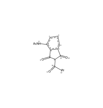 CC(=O)Nc1cccc2c1C(=O)C(C(=O)C(C)C)C2=O